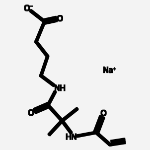 C=CC(=O)NC(C)(C)C(=O)NCCCC(=O)[O-].[Na+]